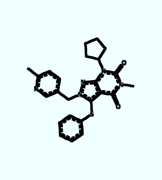 Cc1ccc(Cn2nc3c(c2Sc2ccccc2)c(=O)n(C)c(=O)n3C2CCCC2)cn1